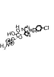 NS(=O)(=O)OC[C@H]1O[C@@H](c2cnn3c(NCc4ccc(Cl)cc4)ncnc23)[C@H](O)[C@@H]1O